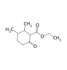 CCOC(=O)C1C(=O)CCC(C)C1C